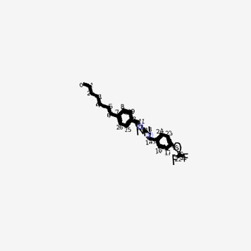 CCCCCCCc1ccc(/C=N/N=C/c2ccc(OC(F)F)cc2)cc1